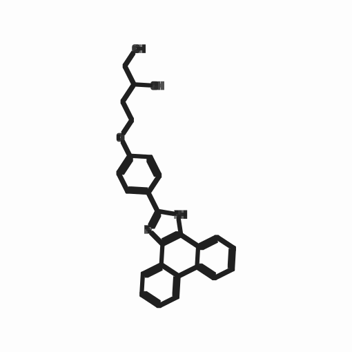 OCC(O)CCOc1ccc(-c2nc3c4ccccc4c4ccccc4c3[nH]2)cc1